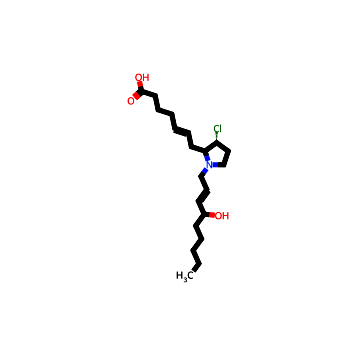 CCCCCC(O)C=CCN1CC[C@@H](Cl)C1CC=CCCCC(=O)O